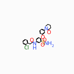 NS(=O)(=O)c1cc(NC(=O)Cc2ccccc2Cl)ccc1Oc1cccc(N2CCCCC2=O)c1